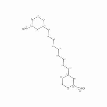 CCCC1CCCC(CCCCCCCCCC2CCCC(C=O)C2)C1